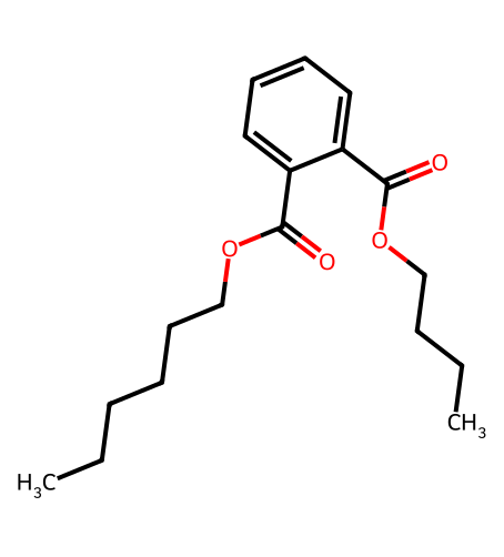 CCCCCCOC(=O)c1ccccc1C(=O)OCCCC